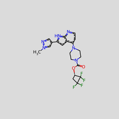 Cn1cc(-c2cc3c(N4CCN(C(=O)O[C@@H]5CC(F)(F)C5(F)F)CC4)ccnc3[nH]2)cn1